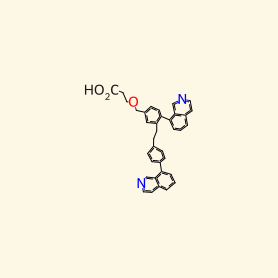 O=C(O)CCOCc1ccc(-c2cccc3ccncc23)c(CCc2ccc(-c3cccc4ccncc34)cc2)c1